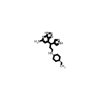 CC[C@H]1CC[C@H](NCCC(c2cn[nH]c2)c2cc(N)nc3[nH]nnc23)CC1